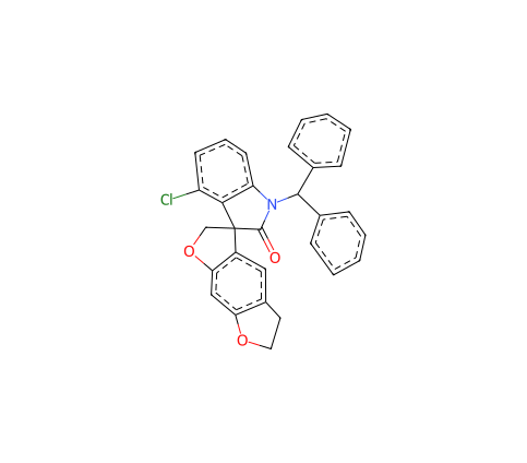 O=C1N(C(c2ccccc2)c2ccccc2)c2cccc(Cl)c2C12COc1cc3c(cc12)CCO3